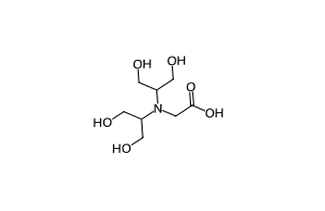 O=C(O)CN(C(CO)CO)C(CO)CO